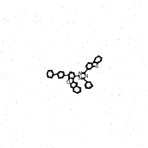 c1ccc(-c2ccc(-c3ccc(-c4nc(-c5ccccc5)nc(-c5ccc6c(c5)sc5ccccc56)n4)c4c3oc3cc5ccccc5cc34)cc2)cc1